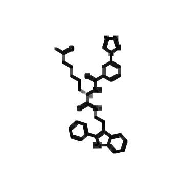 CC(=O)CCCCC[C@H](NC(=O)c1cccc(-n2cnnn2)c1)C(=O)NCCc1c(-c2ccccc2)[nH]c2ccccc12